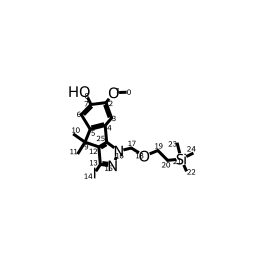 COc1cc2c(cc1O)C(C)(C)c1c(I)nn(COCC[Si](C)(C)C)c1-2